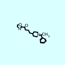 CC(c1ccccc1)N1CCC(CCCC(=O)C2=NCCO2)CC1